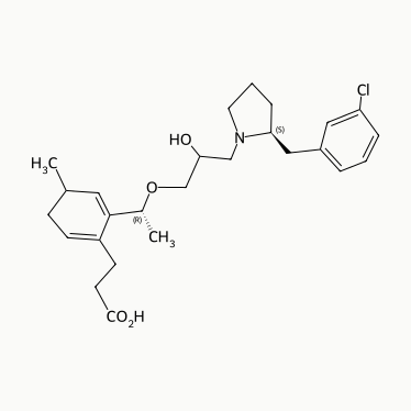 CC1C=C([C@@H](C)OCC(O)CN2CCC[C@H]2Cc2cccc(Cl)c2)C(CCC(=O)O)=CC1